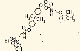 C#CO[Si](CCCNC(=O)Oc1ccc(C(C)(C)c2ccc(OC(=O)OC(=O)NCCOC(=O)C(=C)C)cc2)cc1)(OCC)OCC